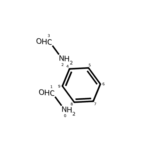 NC=O.NC=O.c1ccccc1